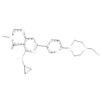 CCN1CCN(c2ccc(-c3cc4ncn(C)c(=O)c4c(NC4CC4)n3)cn2)CC1